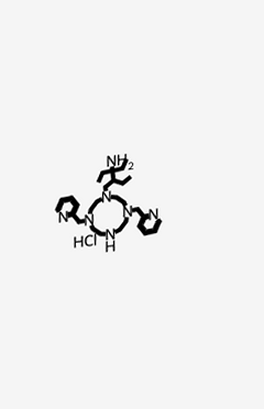 CCC(CN1CCN(Cc2ccccn2)CCNCCN(Cc2ccccn2)CC1)C(N)(CC)CC.Cl